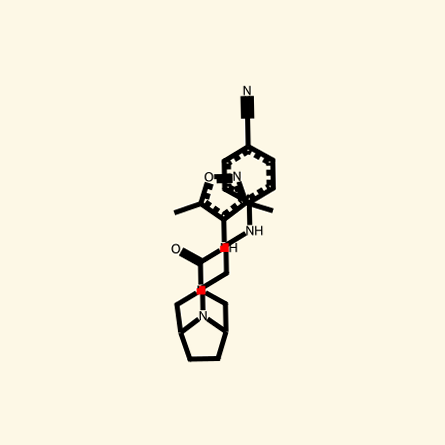 Cc1noc(C)c1NC(=O)N1CC2CCC(C1)N2CCCNc1ccc(C#N)cc1